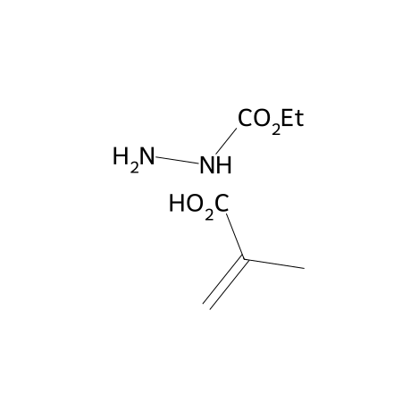 C=C(C)C(=O)O.CCOC(=O)NN